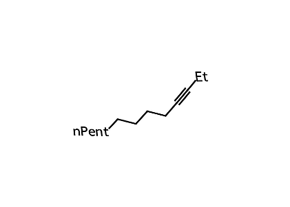 CCC#CCCCCCCCCC